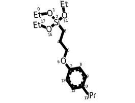 CCO[Si](CCCOc1ccc(C(C)C)cc1)(OCC)OCC